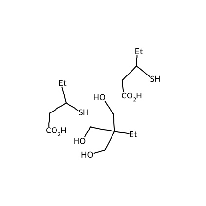 CCC(CO)(CO)CO.CCC(S)CC(=O)O.CCC(S)CC(=O)O